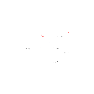 CCCCCCCCCCCC(=O)N(CCO)CCC(=O)O.[NaH]